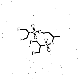 CC(CCOS(=O)(=O)C(CF)CF)OS(=O)(=O)C(CF)CF